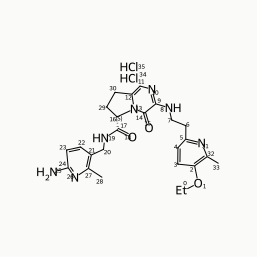 CCOc1ccc(CCNc2ncc3n(c2=O)[C@H](C(=O)NCc2ccc(N)nc2C)CC3)nc1C.Cl.Cl